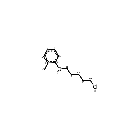 Cc1ccccc1OCCCCCCl